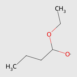 CCCC([O])OCC